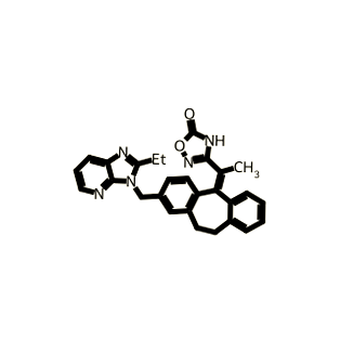 CCc1nc2cccnc2n1Cc1ccc2c(c1)CCc1ccccc1C2=C(C)c1noc(=O)[nH]1